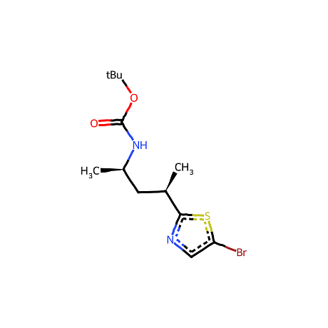 C[C@H](C[C@@H](C)c1ncc(Br)s1)NC(=O)OC(C)(C)C